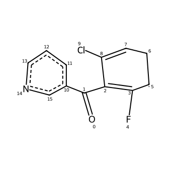 O=C(C1=C(F)[CH]CC=C1Cl)c1cccnc1